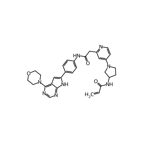 C=CC(=O)NC1CCN(c2ccnc(CC(=O)Nc3ccc(-c4cc5c(N6CCOCC6)ncnc5[nH]4)cc3)c2)C1